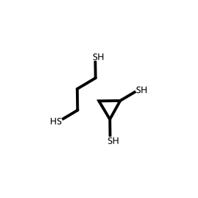 SC1CC1S.SCCCS